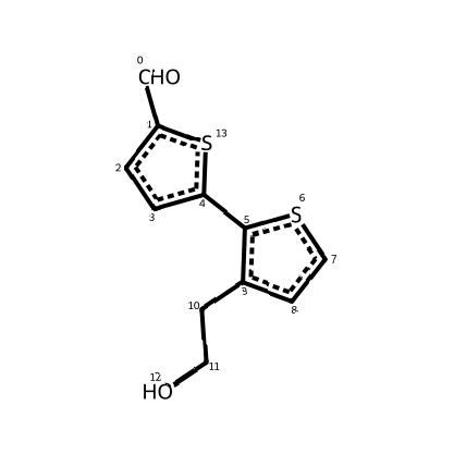 O=Cc1ccc(-c2sccc2CCO)s1